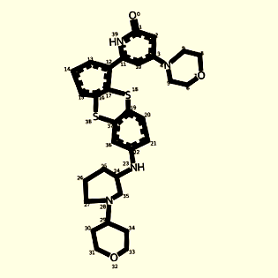 O=c1cc(N2CCOCC2)cc(-c2cccc3c2Sc2ccc(NC4CCCN(C5CCOCC5)C4)cc2S3)[nH]1